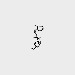 C=CC1=CCN=C(N(C)/C(C)=C/C=C\C2=C(C)C=CC=CC2)C=C1